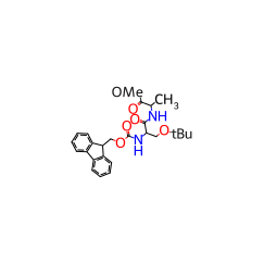 COC(=O)C(C)NC(=O)C(COC(C)(C)C)NC(=O)OCC1c2ccccc2-c2ccccc21